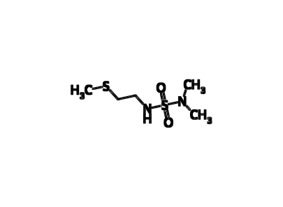 CSCCNS(=O)(=O)N(C)C